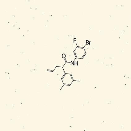 C=CCC(C(=O)Nc1ccc(Br)c(F)c1)c1cc(C)cc(C)c1